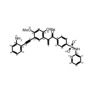 C=C(C(=O)c1ccc(S(=O)(=O)Nc2ccccn2)cc1)c1cc(C#Cc2ccccc2N)c(OC)cc1OC